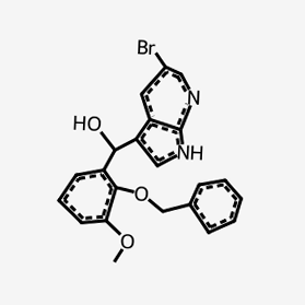 COc1cccc(C(O)c2c[nH]c3ncc(Br)cc23)c1OCc1ccccc1